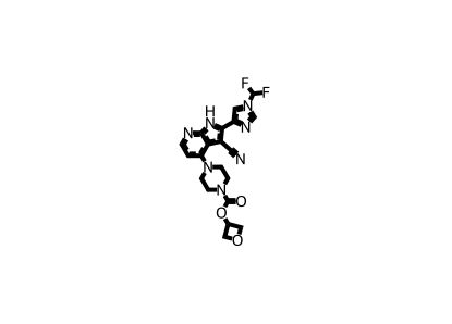 N#Cc1c(-c2cn(C(F)F)cn2)[nH]c2nccc(N3CCN(C(=O)OC4COC4)CC3)c12